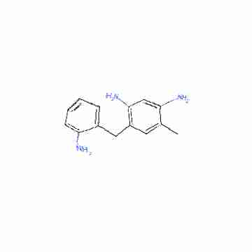 Cc1cc(Cc2ccccc2N)c(N)cc1N